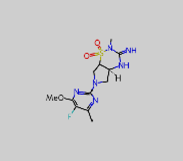 COc1nc(N2CC3[C@H](C2)NC(=N)N(C)S3(=O)=O)nc(C)c1F